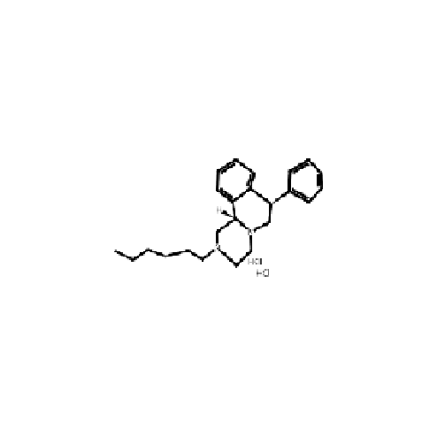 CCCCCCN1CCN2C[C@H](c3ccccc3)c3ccccc3[C@H]2C1.Cl.Cl